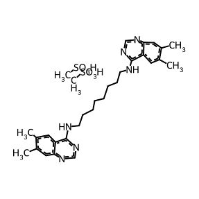 CS(=O)(=O)O.CS(=O)(=O)O.Cc1cc2ncnc(NCCCCCCCCNc3ncnc4cc(C)c(C)cc34)c2cc1C